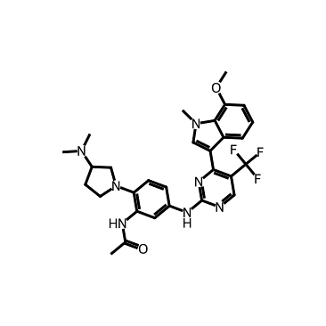 COc1cccc2c(-c3nc(Nc4ccc(N5CCC(N(C)C)C5)c(NC(C)=O)c4)ncc3C(F)(F)F)cn(C)c12